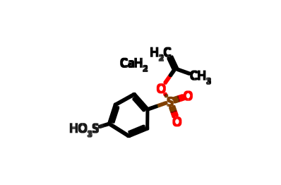 C=C(C)OS(=O)(=O)c1ccc(S(=O)(=O)O)cc1.[CaH2]